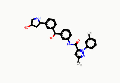 N#Cc1cccc(-n2nc(C(F)(F)F)cc2C(=O)Nc2cccc(C(O)c3cccc(C4CC(O)CN4)c3)c2)c1